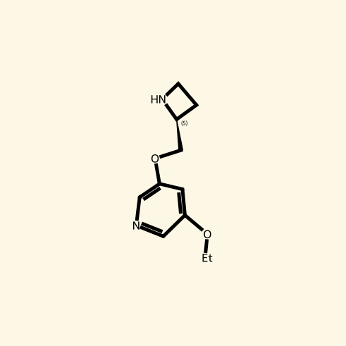 CCOc1cncc(OC[C@@H]2CCN2)c1